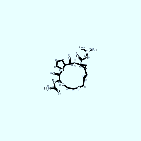 CC(C)(C)[S+]([O-])NC(=O)[C@@]12CC1/C=C/CCCCCC(OC(N)=O)C(=O)N1CCCC1C(=O)N2